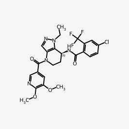 CCn1ncc2c1[C@@H](NC(=O)c1ccc(Cl)cc1C(F)(F)F)CCN2C(=O)c1cnc(OC)c(OC)c1